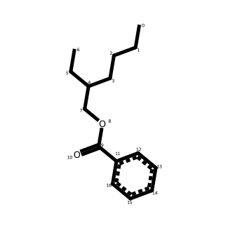 CCCCC(CC)COC(=O)c1ccccc1